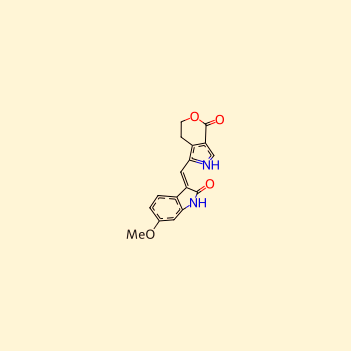 COc1ccc2c(c1)NC(=O)C2=Cc1[nH]cc2c1CCOC2=O